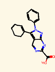 O=C(O)c1ncc2c(C3=CCCCC3)n(-c3ccccc3)nc2n1